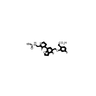 CC(C)(C)[S@+]([O-])NCc1nccc(-c2cc(COc3cc(F)ccc3CC(=O)O)c(F)c3ccoc23)c1F